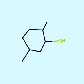 CC1CCC(C)C(S)C1